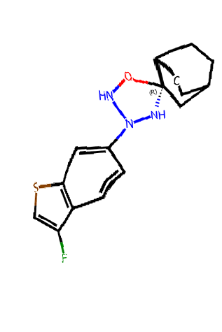 Fc1csc2cc(N3NO[C@@]4(CC5CCC4CC5)N3)ccc12